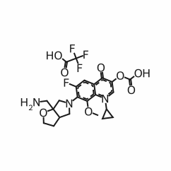 COc1c(N2CC3CCOC3(CN)C2)c(F)cc2c(=O)c(OC(=O)O)cn(C3CC3)c12.O=C(O)C(F)(F)F